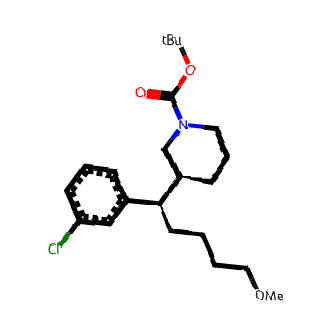 COCCCC[C@@H](c1cccc(Cl)c1)[C@@H]1CCCN(C(=O)OC(C)(C)C)C1